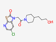 O=C(Cn1c(=O)sc2ncc(Cl)cc21)N1CCC(CCCO)CC1